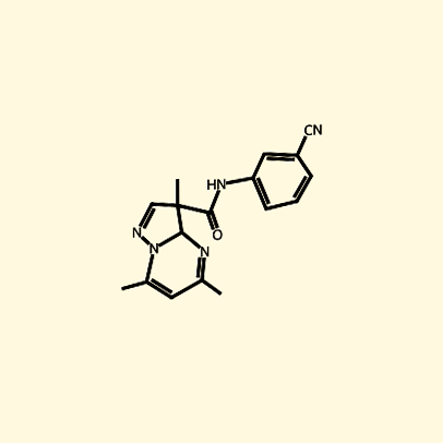 CC1=CC(C)=NC2N1N=CC2(C)C(=O)Nc1cccc(C#N)c1